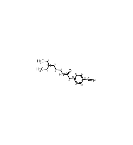 CCN(CC)CCCNC(=O)Cc1ccc(C#N)cc1